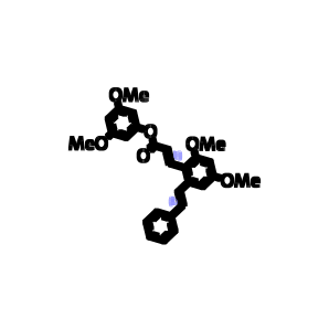 COc1cc(OC)cc(OC(=O)/C=C/c2c(/C=C/c3ccccc3)cc(OC)cc2OC)c1